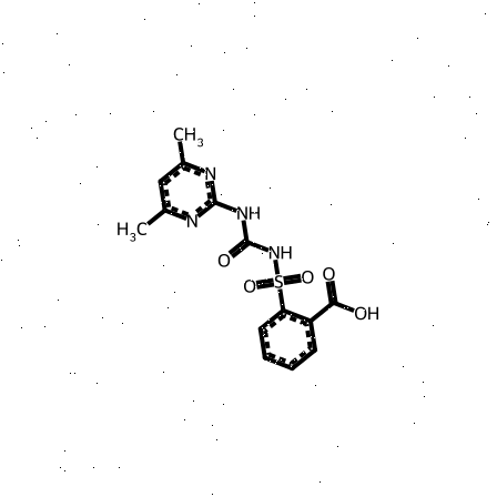 Cc1cc(C)nc(NC(=O)NS(=O)(=O)c2ccccc2C(=O)O)n1